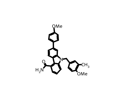 COc1ccc(-c2c[c]c3c4c(C(N)=O)cccc4n(Cc4ccc(OC)c(C)c4)c3c2)cc1